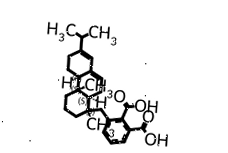 CC(C)C1=CC2=CC[C@H]3[C@](C)(Cc4cccc(C(=O)O)c4C(=O)O)CCC[C@]3(C)[C@H]2CC1